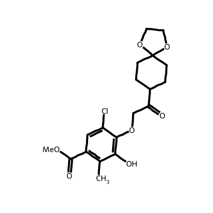 COC(=O)c1cc(Cl)c(OCC(=O)C2CCC3(CC2)OCCO3)c(O)c1C